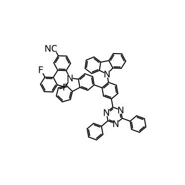 N#Cc1ccc(-n2c3ccccc3c3cc(-c4cc(-c5nc(-c6ccccc6)nc(-c6ccccc6)n5)ccc4-n4c5ccccc5c5ccccc54)ccc32)c(-c2c(F)cccc2F)c1